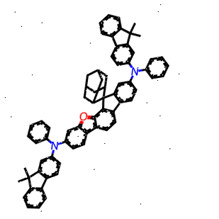 CC1(C)c2ccccc2-c2ccc(N(c3ccccc3)c3ccc4c(c3)C3(c5c-4ccc4c5oc5cc(N(c6ccccc6)c6ccc7c(c6)C(C)(C)c6ccccc6-7)ccc54)C4CC5CC(C4)CC3C5)cc21